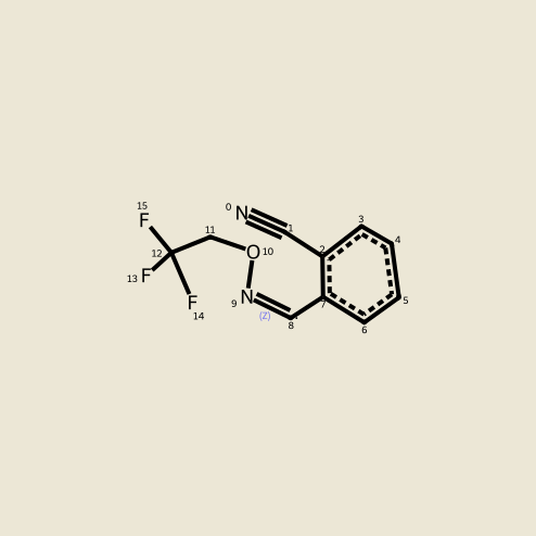 N#Cc1ccccc1/[C]=N\OCC(F)(F)F